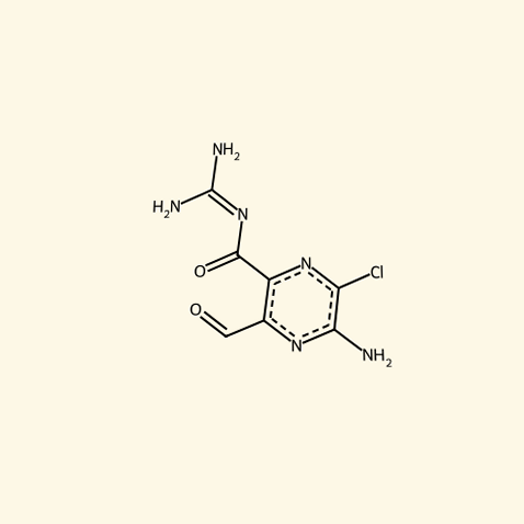 NC(N)=NC(=O)c1nc(Cl)c(N)nc1C=O